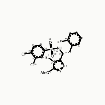 CCn1c(OC)nnc1[C@@H](Cc1ccccc1F)NS(=O)(=O)c1ccc(Cl)c(Cl)c1